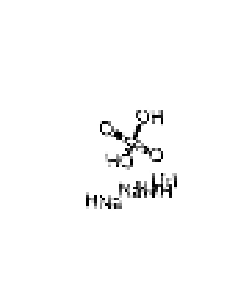 O=[Se](=O)(O)O.[LiH].[NaH].[NaH].[NaH]